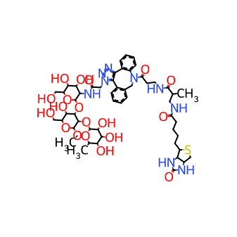 COC1OC(CO)C(O)C(OC2OC(CO)C(O)C(O)C2NC(=O)Cn2nnc3c2-c2ccccc2CN(C(=O)CCNC(=O)C(C)CNC(=O)CCCCC2SCC4NC(=O)NC42)c2ccccc2-3)C1OC1OC(C)C(O)C(O)C1O